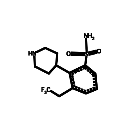 NS(=O)(=O)c1cccc(CC(F)(F)F)c1C1CCNCC1